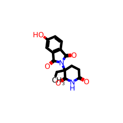 CCC1(N2C(=O)c3ccc(O)cc3C2=O)CCC(=O)NC1=O